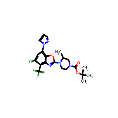 CC1CN(C(=O)OC(C)(C)C)CCN1c1nc2c(C(F)(F)F)c(Cl)cc(-n3cccn3)c2o1